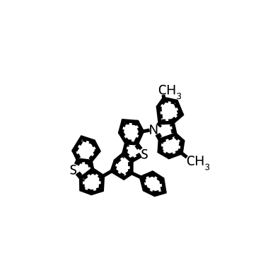 Cc1ccc2c(c1)c1ccc(C)cc1n2-c1cccc2c1sc1c(-c3ccccc3)cc(-c3cccc4sc5ccccc5c34)cc12